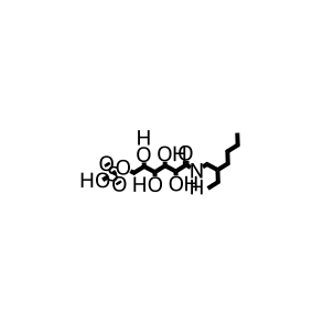 CCCCC(CC)CNC(=O)C(O)C(O)C(O)C(O)COS(=O)(=O)O